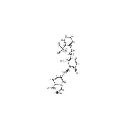 CNc1ncc(C#Cc2c(F)ccc(NSc3ccccc3C(F)(F)F)c2F)cc1C=N